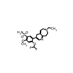 CCN1CC=C2CC(c3cc(S(N)(=O)=O)c(OC)cc3OC(F)F)=CN=C2CC1